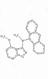 COc1cccc2onc(N(C)c3c4ccccc4cc4ccccc34)c12